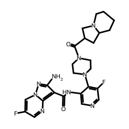 Nc1nn2cc(F)cnc2c1C(=O)Nc1cncc(F)c1N1CCN(C(=O)C2CC3CCCCN3C2)CC1